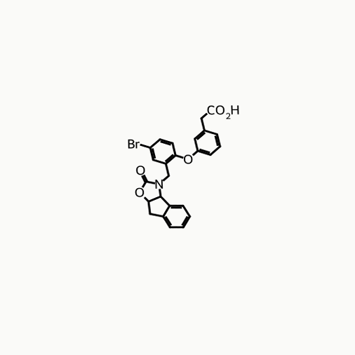 O=C(O)Cc1cccc(Oc2ccc(Br)cc2CN2C(=O)OC3Cc4ccccc4C32)c1